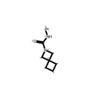 CC(C)NC(=O)N1CC2(CCC2)C1